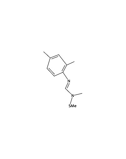 CSN(C)C=Nc1ccc(C)cc1C